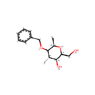 C[C@@H]1C(OCc2ccccc2)[C@@H](C)OC(CO)[C@H]1O